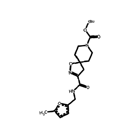 Cc1ccc(CNC(=O)C2=NOC3(CCN(C(=O)OC(C)(C)C)CC3)C2)o1